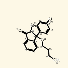 CCCN1C(=O)c2ccccc2C1(OCCCO)c1ccc(Cl)cc1